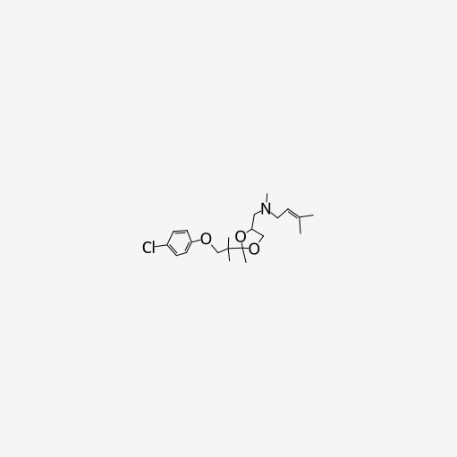 CC(C)=CCN(C)CC1COC(C)(C(C)(C)COc2ccc(Cl)cc2)O1